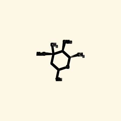 CO[C@H]1[C@H](C)OC(C(C)(C)C)C[C@@]1(C)OC